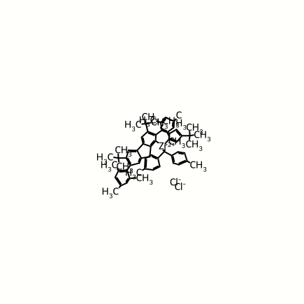 CCC1C=C(C(C)(C)C)C=[C]1[Zr+2](=[C](c1ccc(C)cc1)c1ccc(C)cc1)[c]1c2c(cc(C(C)(C)C)c1-c1c(C)cc(C)cc1C)-c1cc(C(C)(C)C)c(-c3c(C)cc(C)cc3C)cc1C2.[Cl-].[Cl-]